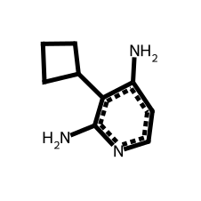 Nc1ccnc(N)c1C1CCC1